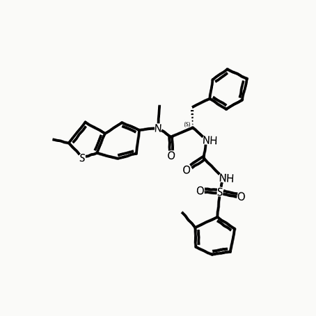 Cc1cc2cc(N(C)C(=O)[C@H](Cc3ccccc3)NC(=O)NS(=O)(=O)c3ccccc3C)ccc2s1